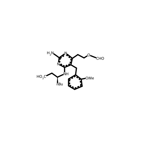 CCCC[C@@H](CC(=O)O)Nc1nc(N)nc(CCOC=O)c1Cc1ccccc1OC